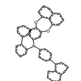 c1ccc(-c2ccccc2N(c2ccc(-c3cccc4ccccc34)cc2)c2ccc3c(c2)Oc2cccc4cccc(c24)O3)cc1